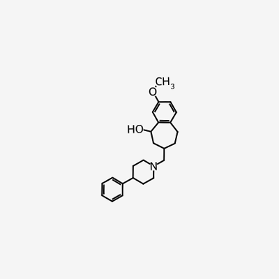 COc1ccc2c(c1)C(O)CC(CN1CCC(c3ccccc3)CC1)CC2